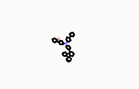 c1ccc(-c2ccc(N(c3ccc(-c4cccc5c4-c4ccccc4C54CC5CCC4C5)cc3)c3ccc4c(c3)oc3ccccc34)cc2)cc1